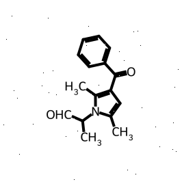 Cc1cc(C(=O)c2ccccc2)c(C)n1C(C)C=O